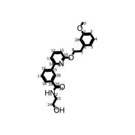 COc1cccc(CCOc2cccc(-c3cccc(C(=O)NCCO)c3)n2)c1